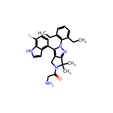 CCc1cccc(CC)c1-n1nc2c(c1-c1ccc(F)c3[nH]ccc13)CN(C(=O)CN)C2(C)C